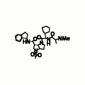 CNC(C)C(=O)NC(C(=O)N1CCC2C1C(C(=O)NC1CCc3ccccc31)CN2S(C)(=O)=O)C1CCCCC1